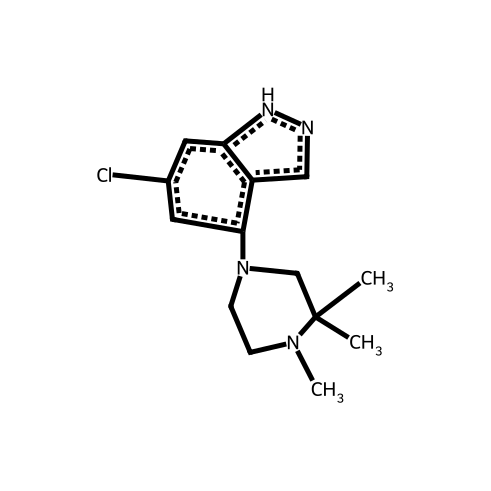 CN1CCN(c2cc(Cl)cc3[nH]ncc23)CC1(C)C